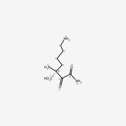 NCCCC[C@@](N)(C(=O)O)C(=O)C(N)=O